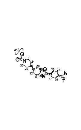 CC(C)(C)OC(=O)N1CC=C(c2ccc3nc(-c4ccc(C(F)F)cc4)oc3c2)CC1